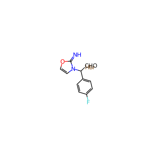 Br.N=c1occn1C(C=O)c1ccc(F)cc1